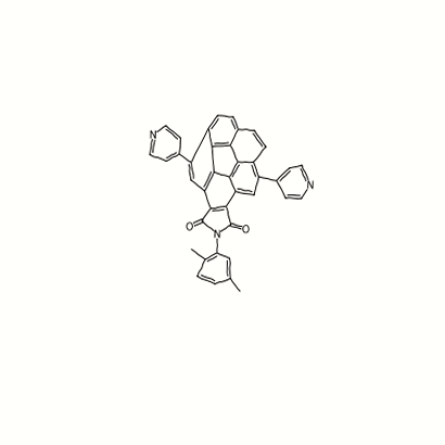 Cc1ccc(C)c(-n2c(=O)c3c4cc(-c5ccncc5)c5ccc6ccc7c(-c8ccncc8)cc(c3c2=O)c2c7c6c5c42)c1